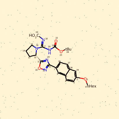 CCCCCCOc1ccc2cc(-c3noc([C@@H]4CCCN4/C(=N\C(=O)O)NC(=O)OC(C)(C)C)n3)ccc2c1